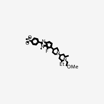 CCC1CC(N2CCC(c3ccc4nc(-c5ccc(S(C)(=O)=O)cc5)n(C)c4c3F)CC2)CC(C)N1CCOC